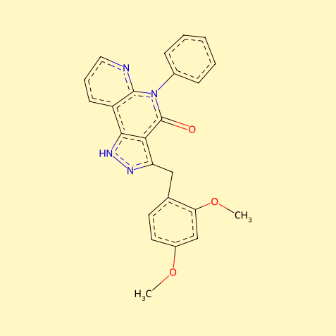 COc1ccc(Cc2n[nH]c3c2c(=O)n(-c2ccccc2)c2ncccc32)c(OC)c1